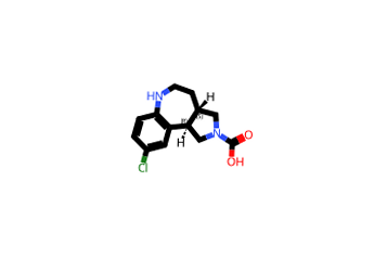 O=C(O)N1C[C@H]2CCNc3ccc(Cl)cc3[C@@H]2C1